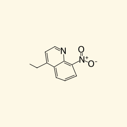 CCc1ccnc2c([N+](=O)[O-])cccc12